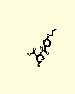 CCCOc1ccc(C(=O)Nc2ccc(Br)cc2C(=O)O)cc1